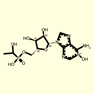 CC(O)P(=O)(O)OC[C@H]1O[C@@H](n2cnc3c(N)[n+](O)cnc32)[C@H](O)[C@@H]1O